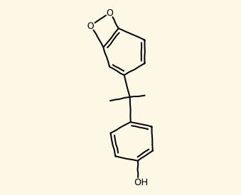 CC(C)(c1ccc(O)cc1)c1ccc2ooc2c1